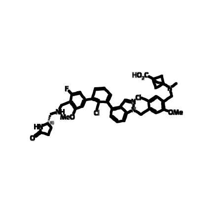 COc1cc(Cn2ncc3c(-c4cccc(-c5cc(F)c(CNC[C@@H]6CCC(=O)N6)c(OC)c5)c4Cl)cccc32)c(Cl)cc1CN(C)C12CC(C(=O)O)(C1)C2